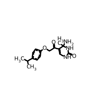 CC(C)c1ccc(OCC(=O)C2=CNC(=O)NC2(C)N)cc1